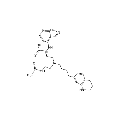 CC(=O)NCCN(CCCCc1ccc2c(n1)NCCC2)CC[C@H](Nc1ncnc2[nH]ncc12)C(=O)O